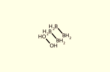 BB.BB.OO